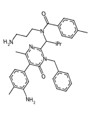 Cc1ccc(C(=O)N(CCCN)C(c2nc(C)c(-c3ccc(C)c(N)c3)c(=O)n2Cc2ccccc2)C(C)C)cc1